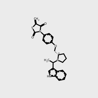 C=C1SC(=O)N(c2ccc(OC[C@@H]3CCCN3C(C)c3c[nH]c4ccccc34)cc2)C1=O